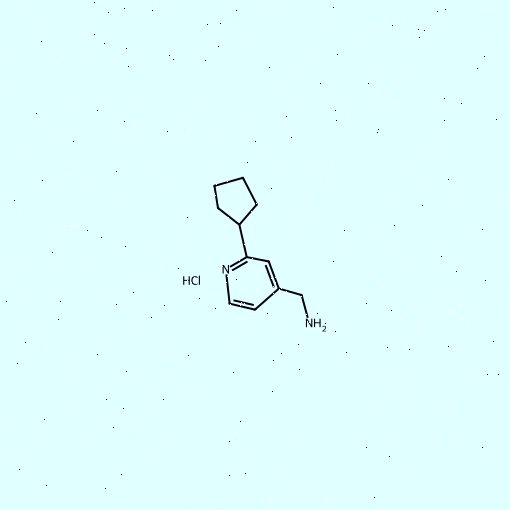 Cl.NCc1ccnc(C2CCCC2)c1